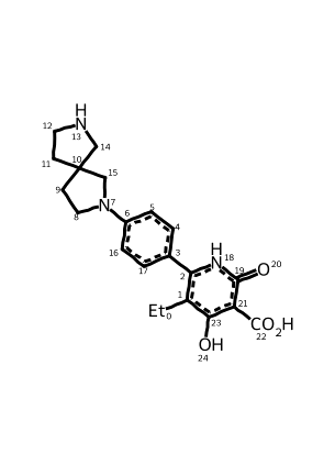 CCc1c(-c2ccc(N3CCC4(CCNC4)C3)cc2)[nH]c(=O)c(C(=O)O)c1O